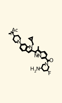 CC(=O)N(C)C1CCN(c2ccc3cc(-c4nn5cc(C(=O)N6C[C@H](N)C[C@@H](F)C6)ccc5c4C)n(CC4CC4)c3c2)CC1